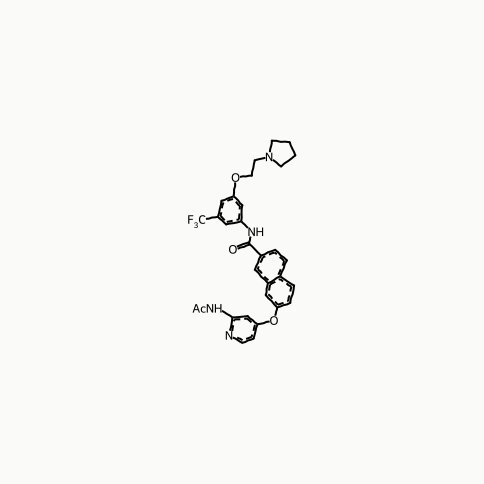 CC(=O)Nc1cc(Oc2ccc3ccc(C(=O)Nc4cc(OCCN5CCCC5)cc(C(F)(F)F)c4)cc3c2)ccn1